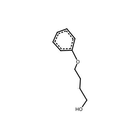 OC[CH]CCOc1ccccc1